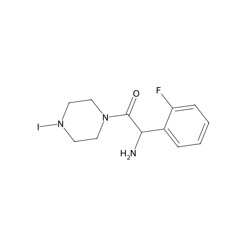 NC(C(=O)N1CCN(I)CC1)c1ccccc1F